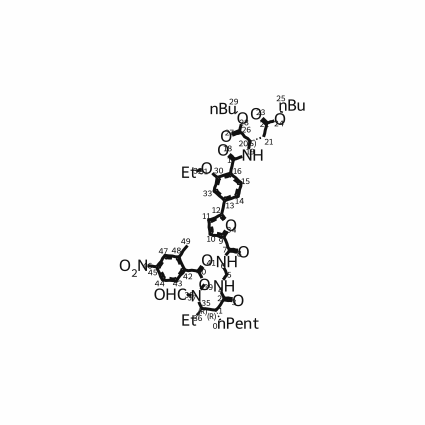 CCCCC[C@@H](C(=O)NCNC(=O)c1ccc(-c2ccc(C(=O)N[C@@H](CC(=O)OCCCC)C(=O)OCCCC)c(OCC)c2)o1)[C@@H](CC)N(C=O)OC(=O)c1ccc([N+](=O)[O-])cc1C